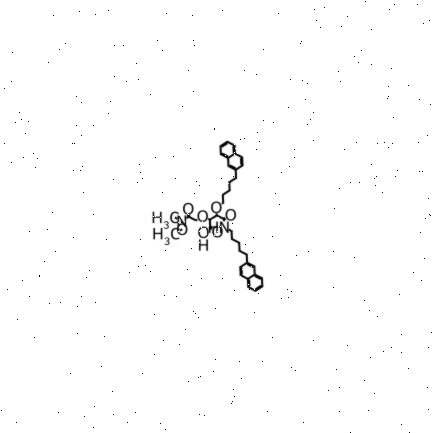 CON(C)C(=O)COC(C(=O)O)C(OCCCCCc1ccc2ccccc2c1)C(=O)NCCCCCc1ccc2ccccc2c1